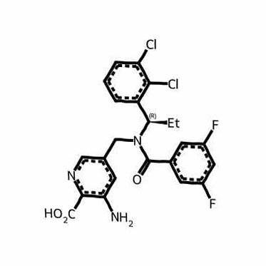 CC[C@H](c1cccc(Cl)c1Cl)N(Cc1cnc(C(=O)O)c(N)c1)C(=O)c1cc(F)cc(F)c1